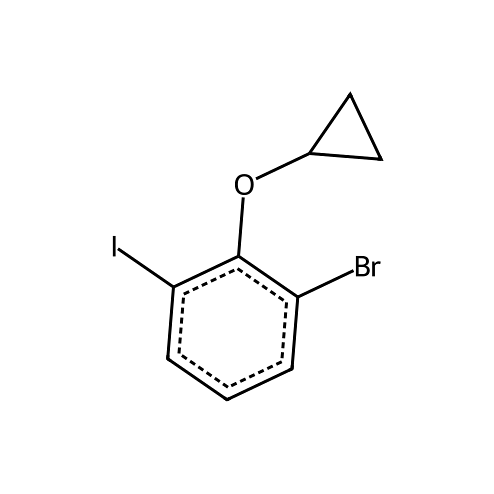 Brc1cccc(I)c1OC1CC1